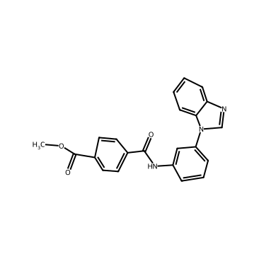 COC(=O)c1ccc(C(=O)Nc2cccc(-n3cnc4ccccc43)c2)cc1